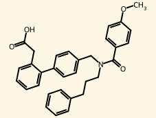 COc1ccc(C(=O)N(CCCc2ccccc2)Cc2ccc(-c3ccccc3CC(=O)O)cc2)cc1